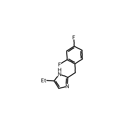 CCc1cnc(Cc2ccc(F)cc2F)[nH]1